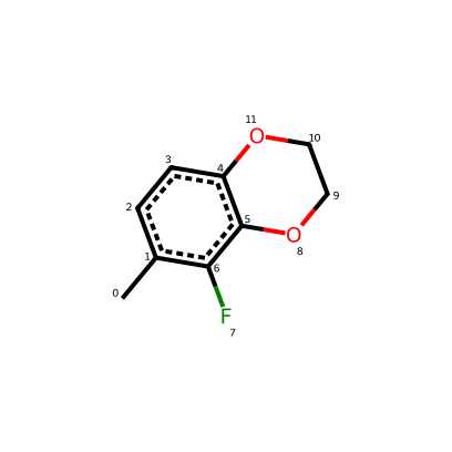 Cc1ccc2c(c1F)OCCO2